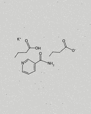 CCCC(=O)O.CCCC(=O)[O-].NC(=O)c1cccnc1.[K+]